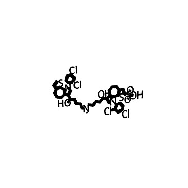 CN(CCCCC(O)c1cn(-c2ccc(Cl)cc2Cl)c2c1CCCc1ccsc1-2)CCCCC(O)c1cn(-c2ccc(Cl)cc2Cl)c2c1CCCc1cc(S(=O)(=O)O)sc1-2